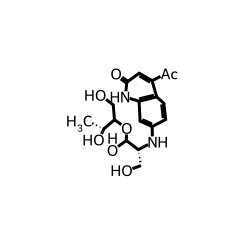 CC(=O)c1cc(=O)[nH]c2cc(N[C@H](CO)C(O)OC(CO)[C@@H](C)O)ccc12